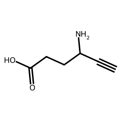 C#CC(N)CCC(=O)O